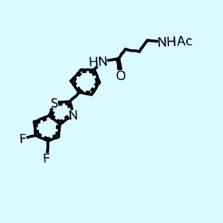 CC(=O)NCCCC(=O)Nc1ccc(-c2nc3cc(F)c(F)cc3s2)cc1